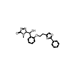 CN1C(=O)N=NC1C(S)c1ccccc1OCCc1coc(-c2ccccc2)n1